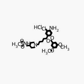 COc1cc(COc2cc(N)c(Cl)cc2C(=O)CCCCN2CCC(CNS(C)(=O)=O)CC2)cc(OC)c1.Cl